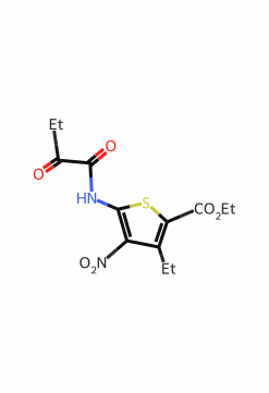 CCOC(=O)c1sc(NC(=O)C(=O)CC)c([N+](=O)[O-])c1CC